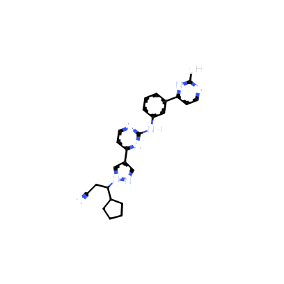 Cc1nccc(-c2cccc(Nc3nccc(-c4cnn(C(CC#N)C5CCCC5)c4)n3)c2)n1